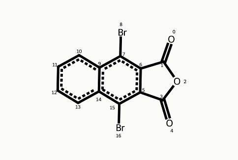 O=C1OC(=O)c2c1c(Br)c1ccccc1c2Br